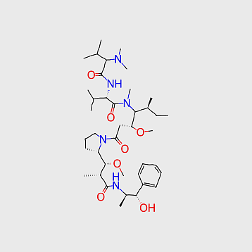 CC[C@H](C)C([C@@H](CC(=O)N1CCC[C@H]1[C@H](OC)[C@@H](C)C(=O)N[C@H](C)[C@@H](O)c1ccccc1)OC)N(C)C(=O)[C@@H](NC(=O)C(C(C)C)N(C)C)C(C)C